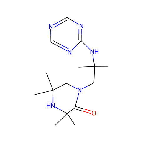 CC(C)(CN1CC(C)(C)NC(C)(C)C1=O)Nc1ncncn1